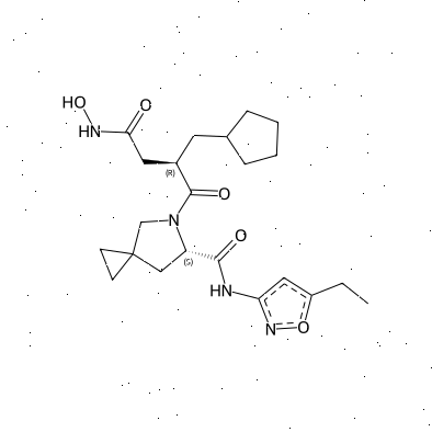 CCc1cc(NC(=O)[C@@H]2CC3(CC3)CN2C(=O)[C@@H](CC(=O)NO)CC2CCCC2)no1